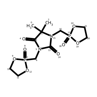 CC1(C)C(=O)N(CP2(=O)OCCO2)C(=O)N1CP1(=O)OCCO1